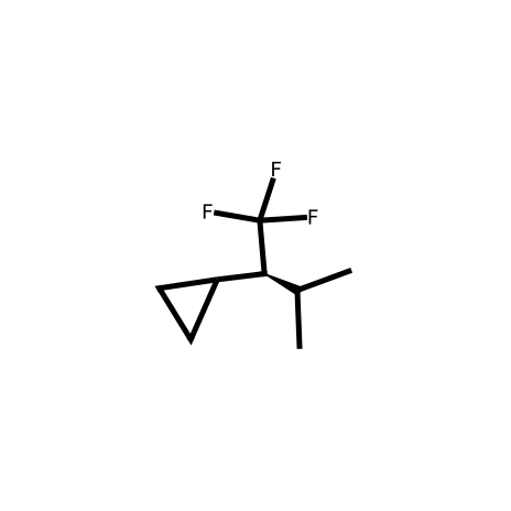 CC(C)[C@@H](C1CC1)C(F)(F)F